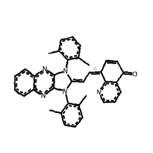 Cc1cccc(C)c1N1C(=C/C=C2/C=CC(=O)c3cccnc32)N(c2c(C)cccc2C)c2nc3ccccc3nc21